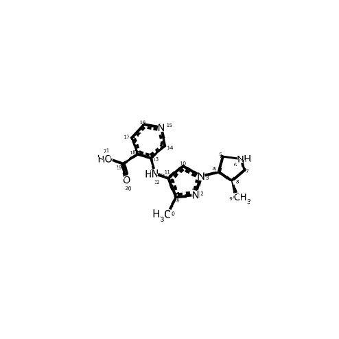 Cc1nn(C2CNC[C@H]2C)cc1Nc1cnccc1C(=O)O